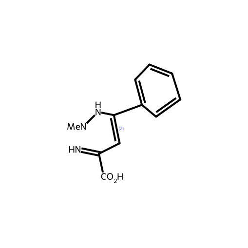 CNN/C(=C\C(=N)C(=O)O)c1ccccc1